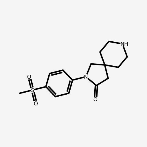 CS(=O)(=O)c1ccc(N2CC3(CCNCC3)CC2=O)cc1